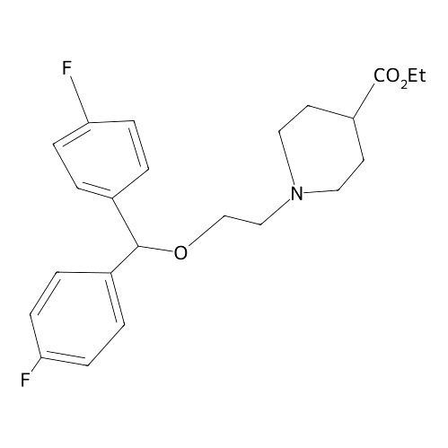 CCOC(=O)C1CCN(CCOC(c2ccc(F)cc2)c2ccc(F)cc2)CC1